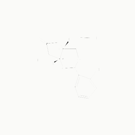 O=C1O[C@H]2[C@H](OC(c3ccccc3Cl)O[C@H]2CO)[C@@H]1O